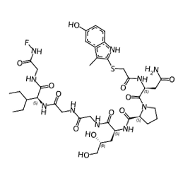 CCC(CC)[C@H](NC(=O)CNC(=O)CNC(=O)[C@H](C[C@@H](O)CO)NC(=O)[C@@H]1CCCN1C(=O)[C@H](CC(N)=O)NC(=O)CSc1[nH]c2ccc(O)cc2c1C)C(=O)NCC(=O)NF